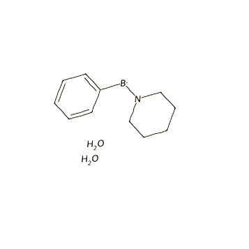 O.O.[B](c1ccccc1)N1CCCCC1